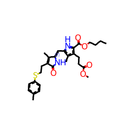 CCCCOC(=O)c1[nH]c(/C=C2\NC(=O)C(CCSc3ccc(C)cc3)=C2C)c(C)c1CCC(=O)OC